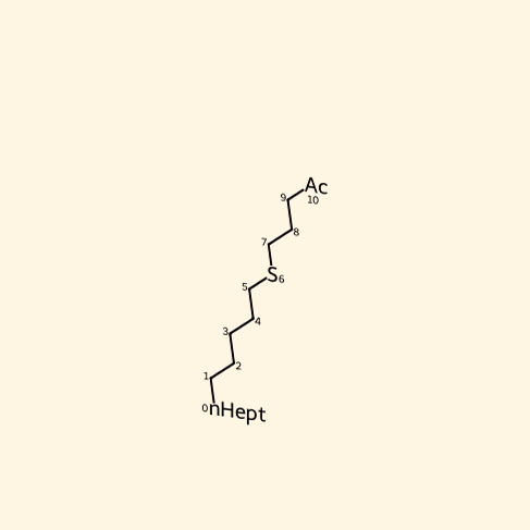 CCCCCCCCCCCCSCCCC(C)=O